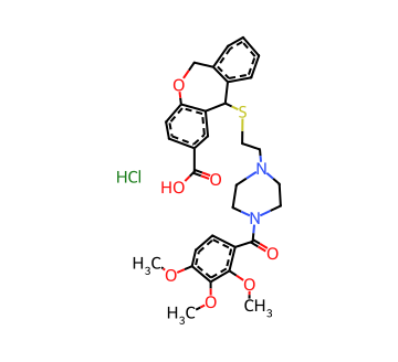 COc1ccc(C(=O)N2CCN(CCSC3c4ccccc4COc4ccc(C(=O)O)cc43)CC2)c(OC)c1OC.Cl